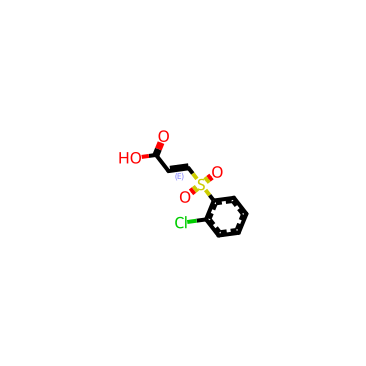 O=C(O)/C=C/S(=O)(=O)c1ccccc1Cl